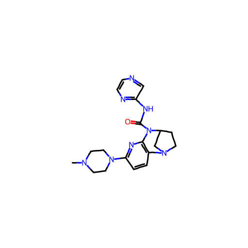 CN1CCN(c2ccc3c(n2)N(C(=O)Nc2cnccn2)C2CCN3C2)CC1